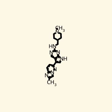 Cc1cn2nc(-c3c[nH]c4nc(NCC5CCN(C)CC5)ncc34)ccc2n1